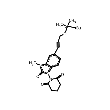 Cn1c(=O)n(N2C(=O)CCCC2=O)c2ccc(C#CCO[Si](C)(C)C(C)(C)C)cc21